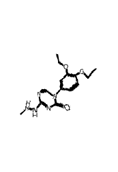 CCOc1ccc(-n2cnc(NNC)nc2=O)cc1OCC